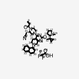 C=CC(=O)N1CCN(c2nc(OCC3([C@H]4CCCN4C)CC3)nc3c2CCN(c2cccc4ccccc24)C3)C[C@@H]1CC#N.O=C(O)C(F)(F)F